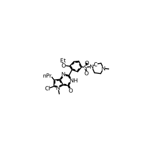 CCCc1c(Cl)n(C)c2c(=O)[nH]c(-c3cc(S(=O)(=O)N4CCN(C)CC4)ccc3OCC)nc12